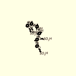 Cc1cc(N=Nc2cc(C)c(NC(=O)Nc3cc(C)c(N=Nc4cc(C)c(/N=N\c5cccc(OCCCCS(=O)(=O)O)c5)cc4OCCCSO)cc3C)cc2C)c(OCCCS(=O)(=O)O)cc1N=Nc1cccc(OCCCCS(=O)(=O)O)c1